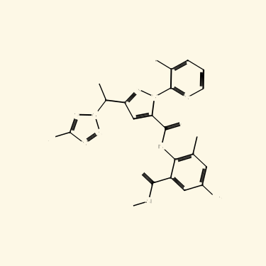 CCNC(=O)c1cc(C#N)cc(C)c1NC(=O)c1cc(C(C)n2nnc(C(F)(F)F)n2)nn1-c1ncccc1Cl